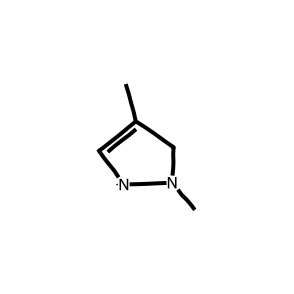 CC1=C[N]N(C)C1